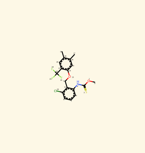 COC(=S)Nc1cccc(Cl)c1COc1cc(C)c(C)cc1C(F)(F)F